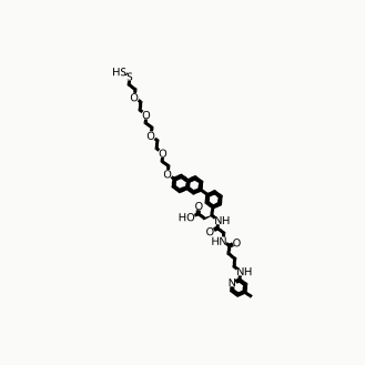 Cc1ccnc(NCCCC(=O)NCC(=O)N[C@@H](CC(=O)O)c2cccc(-c3ccc4cc(OCCOCCOCCOCCOCCSS)ccc4c3)c2)c1